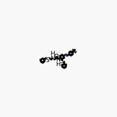 CN(C)c1ccc(/C=C/c2ccc(NC(=O)CNCCSCc3ccccc3)c(SCc3ccccc3)c2)cc1